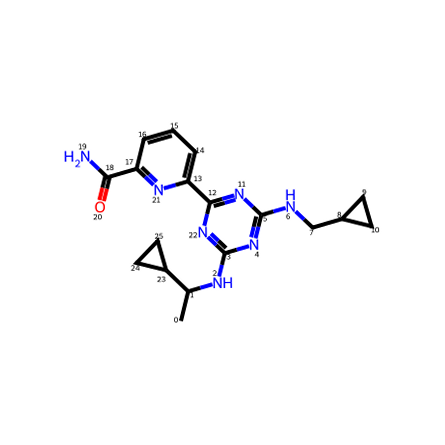 CC(Nc1nc(NCC2CC2)nc(-c2cccc(C(N)=O)n2)n1)C1CC1